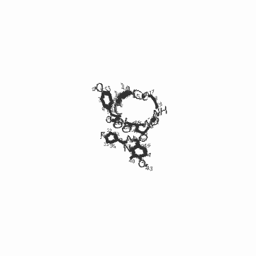 COc1ccc(CC2(C(=O)O)CCC=CCCCCCNC(=O)[N+]3CC(Oc4nc(-c5ccc(F)cc5)nc5c(C)c(OC)ccc45)CC3C(=O)N2)cc1